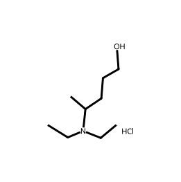 CCN(CC)C(C)CCCO.Cl